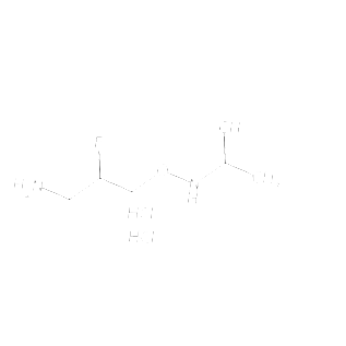 CC(C)NOCC(F)CN.Cl.Cl